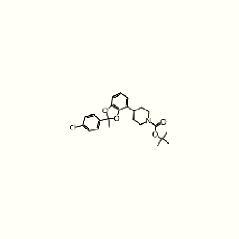 CC(C)(C)OC(=O)N1CCC(c2cccc3c2OC(C)(c2ccc(Cl)cc2)O3)CC1